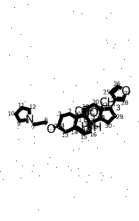 C[C@]12CC[C@H](OCCN3CCCC3)CC1=CC[C@@H]1[C@@H]2CC[C@]2(C)[C@@H](c3ccoc3)CC[C@]12O